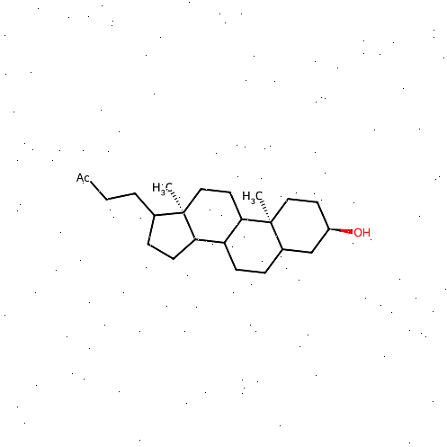 CC(=O)CCC1CCC2C3CCC4C[C@H](O)CC[C@]4(C)C3CC[C@]12C